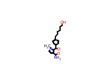 Cn1ccc(C(N)=O)c1C(=O)c1ccc(CCCCCCO)cc1